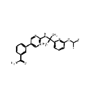 CC(C)(Nc1ncc(-c2cccc(C(N)=O)c2)cn1)c1cccc(OC(F)F)n1